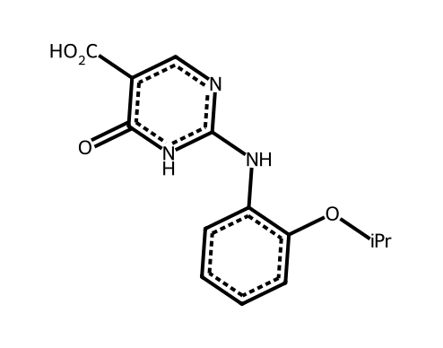 CC(C)Oc1ccccc1Nc1ncc(C(=O)O)c(=O)[nH]1